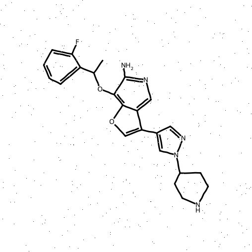 CC(Oc1c(N)ncc2c(-c3cnn(C4CCNCC4)c3)coc12)c1ccccc1F